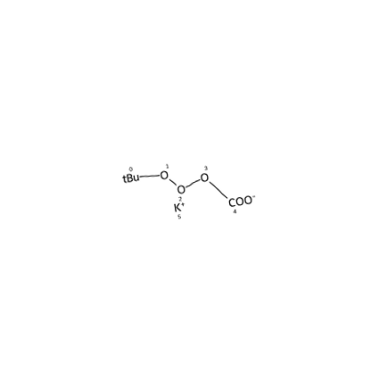 CC(C)(C)OOOC(=O)[O-].[K+]